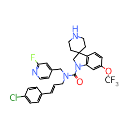 O=C(N(CC=Cc1ccc(Cl)cc1)Cc1ccnc(F)c1)N1CC2(CCNCC2)c2ccc(OC(F)(F)F)cc21